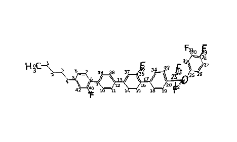 CCCCCc1ccc(-c2ccc(-c3ccc(-c4ccc(C(F)(F)Oc5ccc(F)c(F)c5)cc4)c(F)c3)cc2)c(F)c1